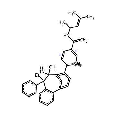 C=C(NC(C)C=C(C)C)C(/C=C\C(=C)c1ccc2cc1C(C)(C)C(CC)(c1ccccc1)c1ccccc1-2)=C/C